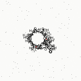 CCC(C)C1NC(=O)C(CCC(=O)O)NC(=O)C(CC(N)=O)NC(=O)CNC(=O)C(C(OC)C(=O)O)NC(=O)C(CO)NC(=O)C(CC(=O)O)NC(=O)C(C)NC(=O)CN(C)C(=O)C(NC(=O)C(NC(=O)C(CCC(=O)O)NC(=O)C(Cc2c[nH]c3ccccc23)NC(=O)CCCCCCC(C)C)C(O)C(N)=O)C(C)OC1=O